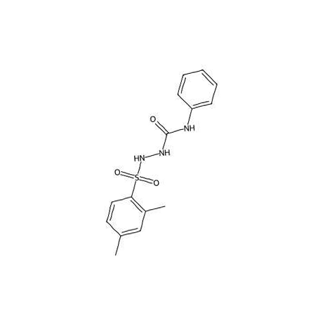 Cc1ccc(S(=O)(=O)NNC(=O)Nc2ccccc2)c(C)c1